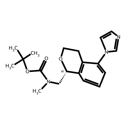 CN(C[C@@H]1OCCc2c1cccc2-n1ccnc1)C(=O)OC(C)(C)C